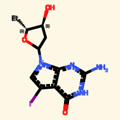 CC[C@H]1OC(n2cc(I)c3c(=O)[nH]c(N)nc32)C[C@@H]1O